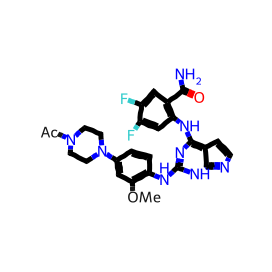 COc1cc(N2CCN(C(C)=O)CC2)ccc1Nc1nc(Nc2cc(F)c(F)cc2C(N)=O)c2ccnc-2[nH]1